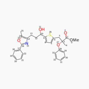 COC(=O)C(C)(Cc1ccc(C(O)CCc2nc(-c3ccccc3)oc2C)s1)Oc1ccccc1